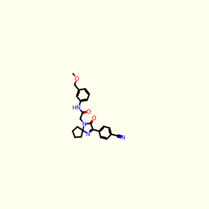 COCc1cccc(NC(=O)CN2C(=O)C(c3ccc(C#N)cc3)=NC23CCCC3)c1